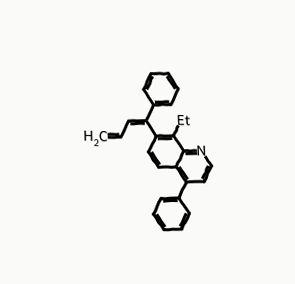 C=C/C=C(/c1ccccc1)c1ccc2c(-c3ccccc3)ccnc2c1CC